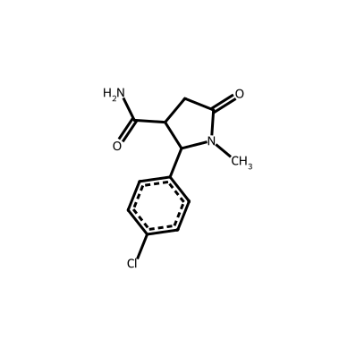 CN1C(=O)CC(C(N)=O)C1c1ccc(Cl)cc1